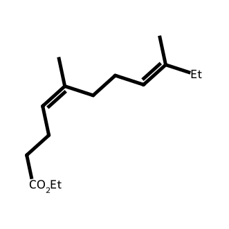 CCOC(=O)CCC=C(C)CCC=C(C)CC